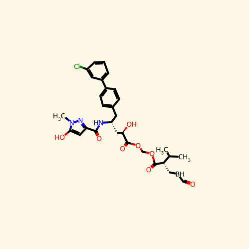 CC(C)[C@H](CBC=O)C(=O)OCOC(=O)[C@H](O)C[C@@H](Cc1ccc(-c2cccc(Cl)c2)cc1)NC(=O)c1cc(O)n(C)n1